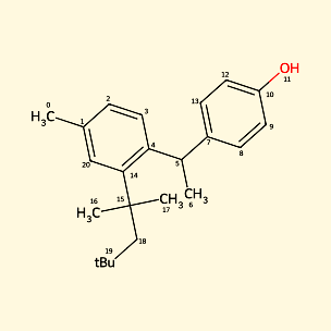 Cc1ccc(C(C)c2ccc(O)cc2)c(C(C)(C)CC(C)(C)C)c1